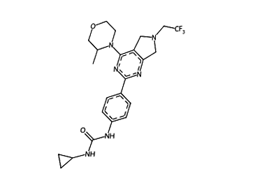 CC1COCCN1c1nc(-c2ccc(NC(=O)NC3CC3)cc2)nc2c1CN(CC(F)(F)F)C2